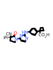 CC(C)[C@]1(C#N)CCN(c2ccnc(Nc3ccc(C4(C(=O)O)CCC4)cc3)n2)C1=O